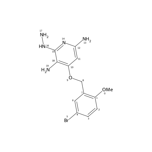 COc1ccc(Br)cc1COc1cc(N)nc(NN)c1N